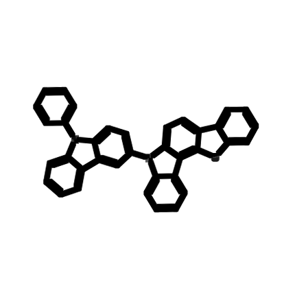 c1ccc(-n2c3ccccc3c3cc(-n4c5ccccc5c5c6oc7ccccc7c6ccc54)ccc32)cc1